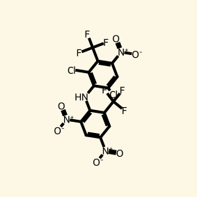 O=[N+]([O-])c1cc([N+](=O)[O-])c(Nc2c(Cl)cc([N+](=O)[O-])c(C(F)(F)F)c2Cl)c(C(F)(F)F)c1